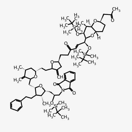 C=C1C[C@H](CCC(=O)/C=C/[C@H](O[Si](C)(C)C(C)(C)C)C2O[C@H]3CC[C@H](CC(C)=O)O[C@@H]3[C@H](C)[C@@H]2O[Si](C)(C)C(C)(C)C)OC1CC[C@H]1C[C@@H](C)C(=C)C(C[C@@H]2O[C@H](C[C@@H](CN3C(=O)c4ccccc4C3=O)O[Si](C)(C)C(C)(C)C)[C@H](C)C2CCc2ccccc2)O1